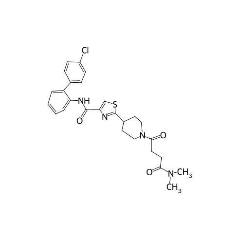 CN(C)C(=O)CCC(=O)N1CCC(c2nc(C(=O)Nc3ccccc3-c3ccc(Cl)cc3)cs2)CC1